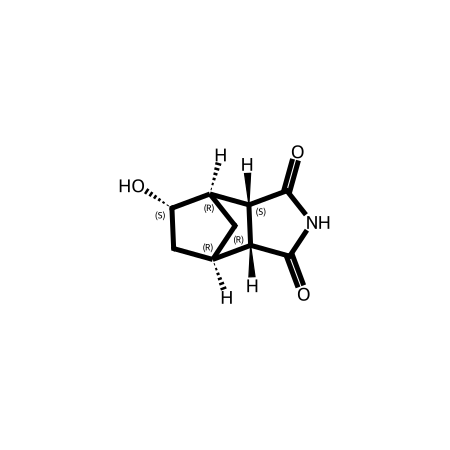 O=C1NC(=O)[C@H]2[C@H]3C[C@H](C[C@@H]3O)[C@@H]12